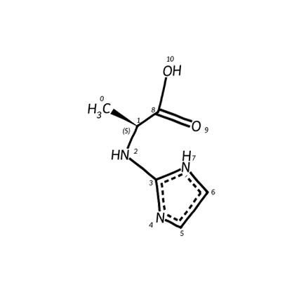 C[C@H](Nc1ncc[nH]1)C(=O)O